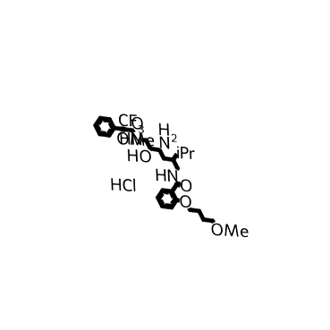 COCCCCOc1ccccc1C(=O)NCC(CC(N)C(O)CNC(=O)C(OC)(c1ccccc1)C(F)(F)F)C(C)C.Cl